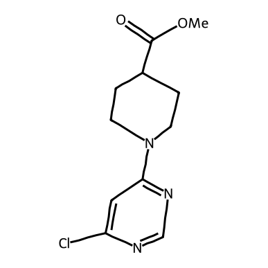 COC(=O)C1CCN(c2cc(Cl)ncn2)CC1